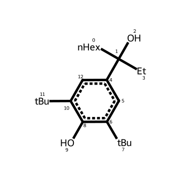 CCCCCCC(O)(CC)c1cc(C(C)(C)C)c(O)c(C(C)(C)C)c1